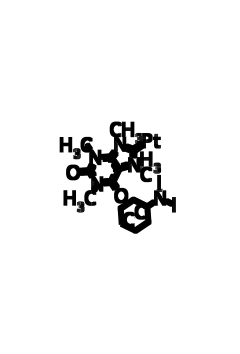 Cn1c(=O)c2c(n(C)c1=O)n(C)[c](=[Pt])n2C.IN(I)C12CCC(CC1)CC2